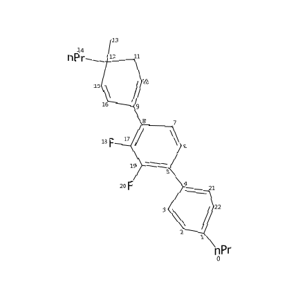 CCCc1ccc(-c2ccc(C3=CCC(C)(CCC)C=C3)c(F)c2F)cc1